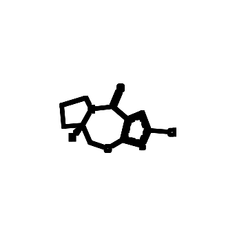 O=C1c2cc(Cl)sc2OC[C@@H]2CCCN12